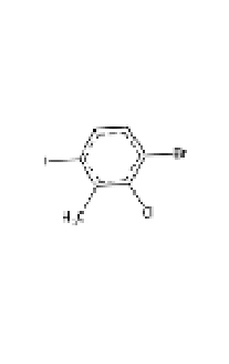 Cc1c(I)ccc(Br)c1Cl